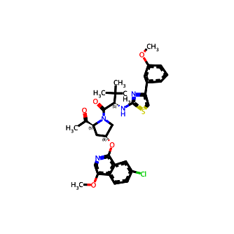 COc1cccc(-c2csc(N[C@H](C(=O)N3C[C@H](Oc4ncc(OC)c5ccc(Cl)cc45)C[C@H]3C(C)=O)C(C)(C)C)n2)c1